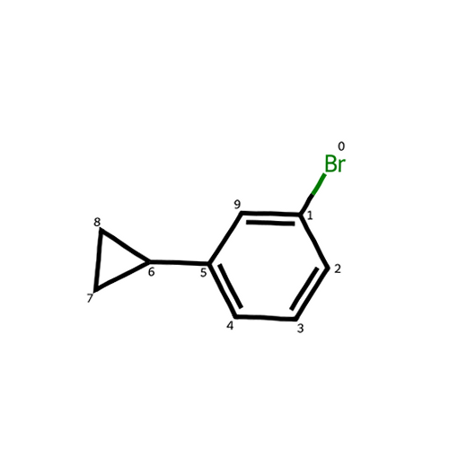 Brc1cccc(C2CC2)c1